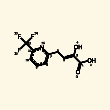 O=C(O)C(O)=CCc1cccc(C(F)(F)F)n1